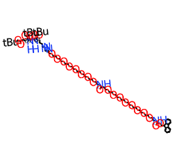 CC(C)(C)OC(=O)CC[C@H](NC(=O)N[C@@H](CCCCn1cc(COCCOCCOCCOCCOCCOCCOCCOCCNC(=O)CCOCCOCCOCCOCCOCCOCCOCCOCCNC(=O)OCC2c3ccccc3-c3ccccc32)nn1)C(=O)OC(C)(C)C)C(=O)OC(C)(C)C